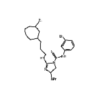 CCCC1CN(C(=S)Nc2cccc(Br)c2)C(NCCCC2CCCCC(CC)C2)=N1